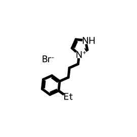 CCc1ccccc1CCC[n+]1cc[nH]c1.[Br-]